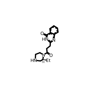 CC[C@H]1CNCCN1C(=O)CCc1nc2ccccc2c(=O)[nH]1